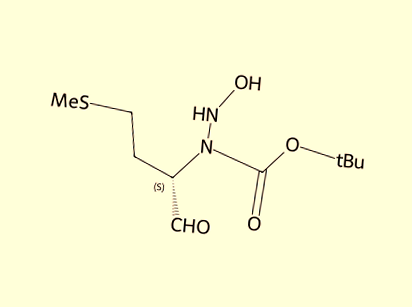 CSCC[C@@H](C=O)N(NO)C(=O)OC(C)(C)C